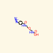 [N-]=[N+]=Nc1ccc(C(=O)NCCOCCNC(=O)O)cc1